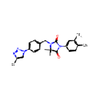 CCc1cn(-c2ccc(CN3C(=O)N(c4ccc(C#N)c(C(F)(F)F)c4)C(=O)C3(C)C)cc2)nn1